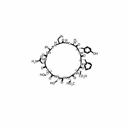 CC(C)CC1NCC(C(C)C)NC(=O)N[C@@H](CC(N)=O)C(=O)N[C@@H](CO)C(=O)N[C@@H](CO)C(=O)N[C@@H](CC(=O)O)C(=O)N[C@@H](CC(=O)O)C(=O)N[C@@H](Cc2ccccc2)C(=O)N[C@@H](Cc2ccc(O)cc2)C(=O)C(N)CNC1=O